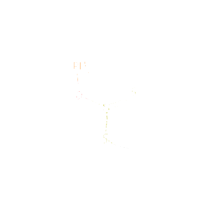 CSS(=S)OP